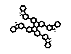 C1=Cc2c(sc3ccc(-c4ccc5c6ccc(-c7ccc8sc9ccccc9c8c7)cc6c6c7c(c8ccc(-c9ccc%10sc%11ccccc%11c%10c9)cc8c6c5c4)CCC(c4ccc5sc6ccccc6c5c4)=C7)cc23)CC1